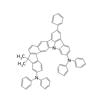 CC1(C)c2cc(N(c3ccccc3)c3ccccc3)ccc2-c2c1ccc1cc3c4cc(-c5ccccc5)cc5c6ccc(N(c7ccccc7)c7ccccc7)cc6n(c3cc21)c54